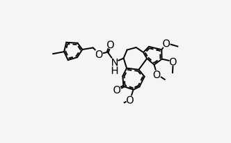 COc1cc2c(c(OC)c1OC)-c1ccc(OC)c(=O)cc1C(NC(=O)OCc1ccc(C)cc1)CC2